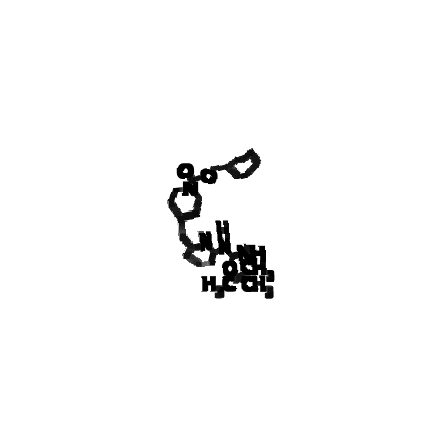 CC(C)(C)OC(=N)Nc1cccc(CC2CCN(C(=O)OCc3ccccc3)CC2)n1